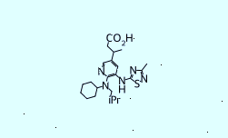 Cc1nsc(Nc2cc(C(C)CC(=O)O)cnc2N(CC(C)C)C2CCCCC2)n1